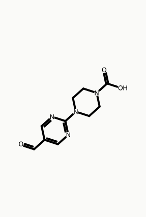 O=Cc1cnc(N2CCN(C(=O)O)CC2)nc1